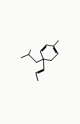 CCCCC=CC1(CC(NC(C)=O)C(=O)OCC)C=CC(O)=CC1